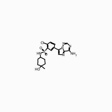 CC1(O)CCC(NS(=O)(=O)c2cc(-c3cnc4c(N)ncnn34)ccc2Cl)CC1